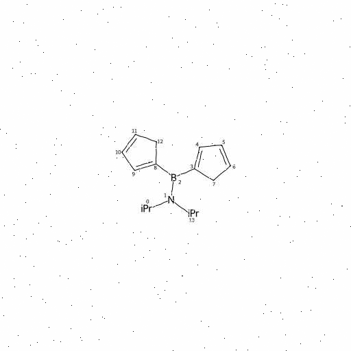 CC(C)N(B(C1=CC=CC1)C1=CC=CC1)C(C)C